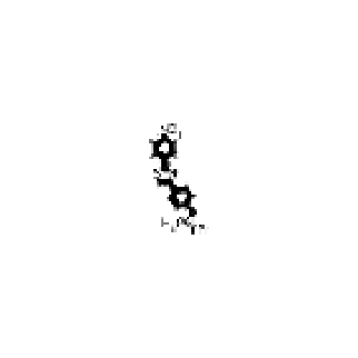 CCCN(C)Cc1ccc(-c2csc(-c3ccc([N+](=O)[O-])cc3)n2)cc1